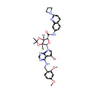 COc1ccc(CNc2ncnc3c2c(Br)cn3[C@@H]2O[C@H](C(=O)Nc3ccc4ccc(N5CCC5)nc4c3)[C@H]3OC(C)(C)O[C@H]32)c(OC)c1